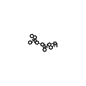 c1ccc(-n2c3ccc(-c4ccc5c(c4)c4ccccc4n5-c4ccc5c6c(cccc46)-c4ncccc4-5)cc3c3ccc4ccccc4c32)cc1